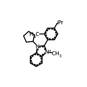 Cc1cc(C(C)C)ccc1-c1n(C2CCCC2)c2ccccc2[n+]1C